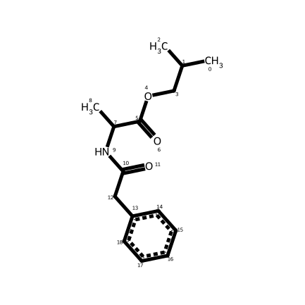 CC(C)COC(=O)C(C)NC(=O)Cc1ccccc1